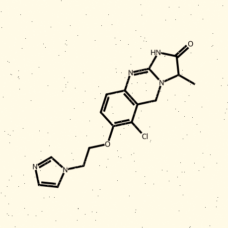 CC1C(=O)NC2=Nc3ccc(OCCn4ccnc4)c(Cl)c3CN21